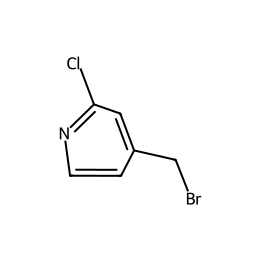 Clc1cc(CBr)ccn1